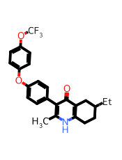 CCC1CCc2[nH]c(C)c(-c3ccc(Oc4ccc(OC(F)(F)F)cc4)cc3)c(=O)c2C1